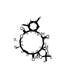 Cc1cc(C)c2c(c1)NC(=O)C[C@@H]1OC(C)(C)O[C@@H]1C(=O)/C=C\[C@@H](C)[C@H](C)OC2=O